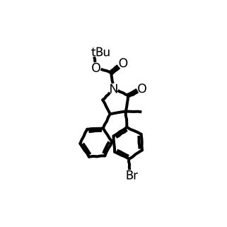 CC(C)(C)OC(=O)N1CC(c2ccccc2)C(C)(c2ccc(Br)cc2)C1=O